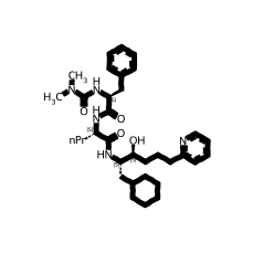 CCC[C@H](NC(=O)[C@H](Cc1ccccc1)NC(=O)N(C)C)C(=O)N[C@@H](CC1CCCCC1)[C@@H](O)CCCc1ccccn1